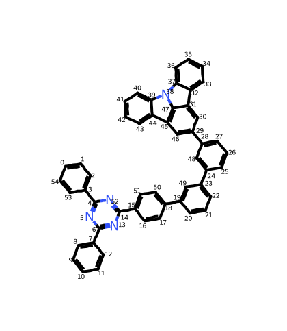 c1ccc(-c2nc(-c3ccccc3)nc(-c3ccc(-c4cccc(-c5cccc(-c6cc7c8ccccc8n8c9ccccc9c(c6)c78)c5)c4)cc3)n2)cc1